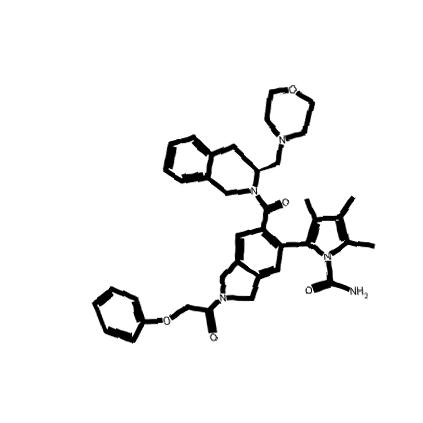 Cc1c(C)c(-c2cc3c(cc2C(=O)N2Cc4ccccc4C[C@H]2CN2CCOCC2)CN(C(=O)COc2ccccc2)C3)n(C(N)=O)c1C